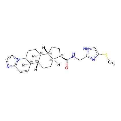 CSc1c[nH]c(CNC(=O)[C@@H]2CC[C@H]3[C@@H]4CCC5[C@H](C=Cc6nccn65)[C@H]4CC[C@@H]32)n1